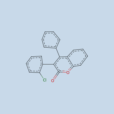 O=c1oc2ccccc2c(-c2ccccc2)c1-c1ccccc1Cl